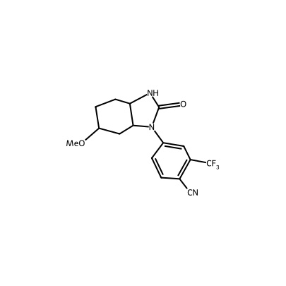 COC1CCC2NC(=O)N(c3ccc(C#N)c(C(F)(F)F)c3)C2C1